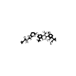 CC(C)(C)c1cc(Oc2ccc3nc(NC(=O)C4CC4)sc3n2)cc(N(C(=O)O)C(=O)c2cccc(C3(C#N)CC3)c2Cl)c1F